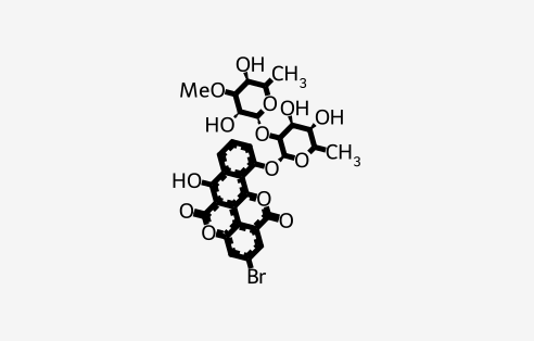 COC1[C@@H](O)C(C)O[C@H](OC2[C@H](Oc3cccc4c(O)c5c(=O)oc6cc(Br)cc7c(=O)oc(c34)c5c67)OC(C)[C@H](O)[C@@H]2O)[C@@H]1O